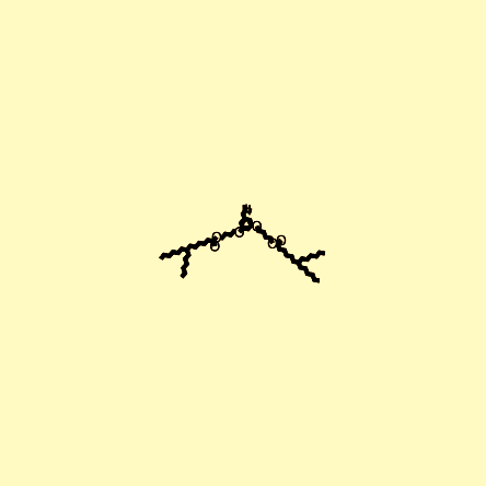 CCCCCCC(CCCCCC)CCCCCC(=O)OCCCCOc1cc(CN(C)C)cc(OCCCCOC(=O)CCCCCC(CCCCCC)CCCCCC)c1